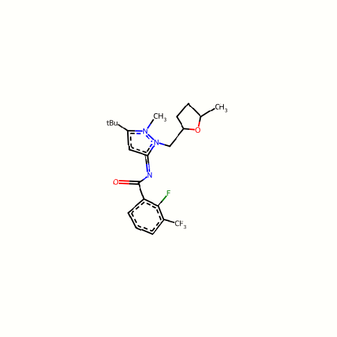 CC1CCC(Cn2c(=NC(=O)c3cccc(C(F)(F)F)c3F)cc(C(C)(C)C)n2C)O1